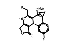 COC(=O)C1=C(CF)NC2=C(C(=O)OC2)[C@@H]1c1cc(F)ccc1C1CC1